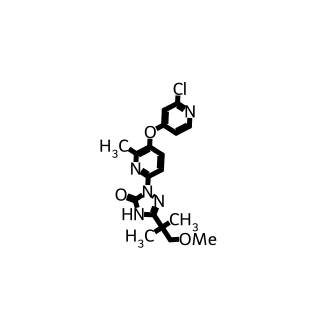 COCC(C)(C)c1nn(-c2ccc(Oc3ccnc(Cl)c3)c(C)n2)c(=O)[nH]1